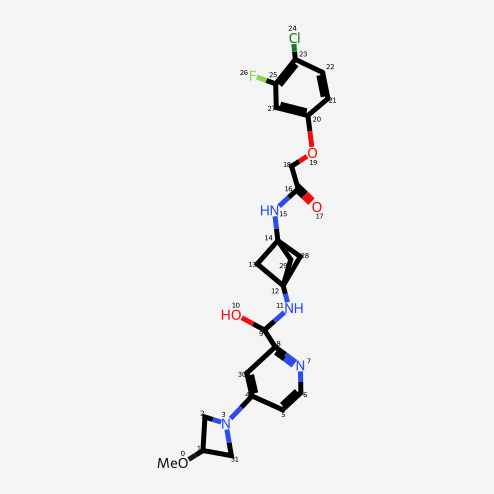 COC1CN(c2ccnc(C(O)NC34CC(NC(=O)COc5ccc(Cl)c(F)c5)(C3)C4)c2)C1